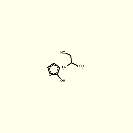 NC(CO)C(=O)O.Oc1ccco1